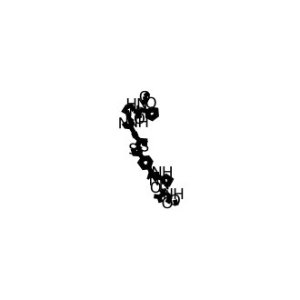 COC(=O)N[C@H](C(=O)N1CCCC1c1ncc(-c2ccc(-c3csc4c(C#Cc5cnc(C6CCCN6C(=O)[C@H](NC(=O)OC)c6ccccc6)[nH]5)csc34)cc2)[nH]1)C(C)C